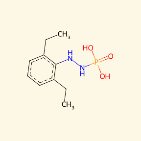 CCc1cccc(CC)c1NNP(=O)(O)O